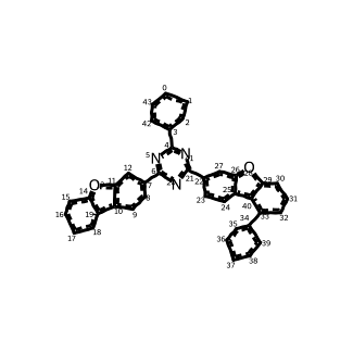 c1ccc(-c2nc(-c3ccc4c(c3)oc3ccccc34)nc(-c3ccc4c(c3)oc3cccc(-c5ccccc5)c34)n2)cc1